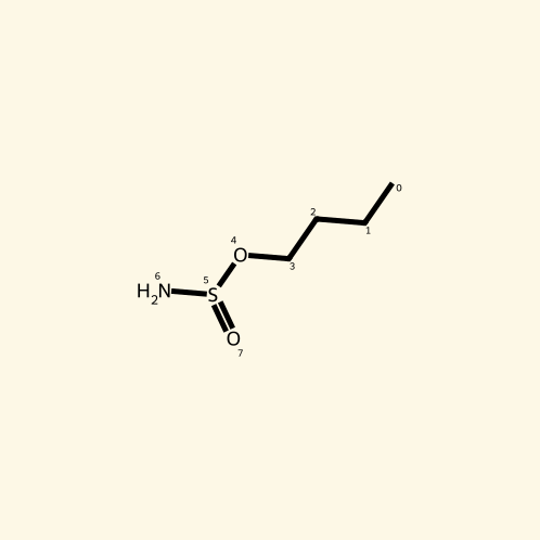 CCCCOS(N)=O